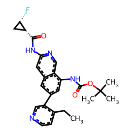 CCc1ccncc1-c1cc(NC(=O)OC(C)(C)C)c2cnc(NC(=O)[C@@H]3C[C@@H]3F)cc2c1